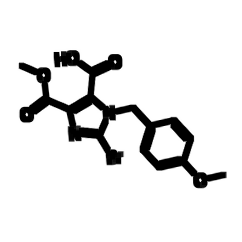 COC(=O)c1nc(Br)n(Cc2ccc(OC)cc2)c1C(=O)O